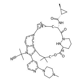 C[C@H]1C[C@@H]1C(=O)N[C@H]1Cc2nc(cs2)-c2ccc3c(c2)c(c(-c2ccnc(N4CCN(C)CC4)c2)n3C(C)(C)C#N)CC(C)(C)COC(=O)[C@@H]2CCCN(N2)C1=O